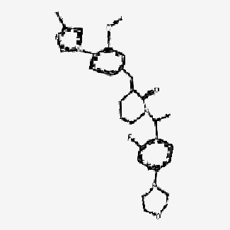 COc1cc(C=C2CCCN(C(C)c3ccc(N4CCOCC4)cc3F)C2=O)ccc1-n1cnc(C)c1